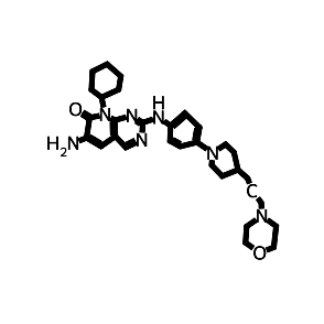 Nc1cc2cnc(Nc3ccc(N4CCC(CCCN5CCOCC5)CC4)cc3)nc2n(C2CCCCC2)c1=O